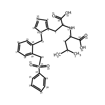 CC(C)CC(NC(Cc1cncn1Cc1ccccc1CS(=O)(=O)c1ccccc1)C(=O)O)C(=O)O